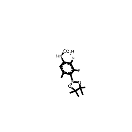 Cc1cc(NC(=O)O)c(F)c(F)c1B1OC(C)(C)C(C)(C)O1